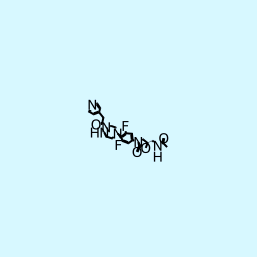 CC(=O)NC[C@H]1CN(c2cc(F)c(N3CCNN(C(=O)Cc4ccncc4)CC3)c(F)c2)C(=O)O1